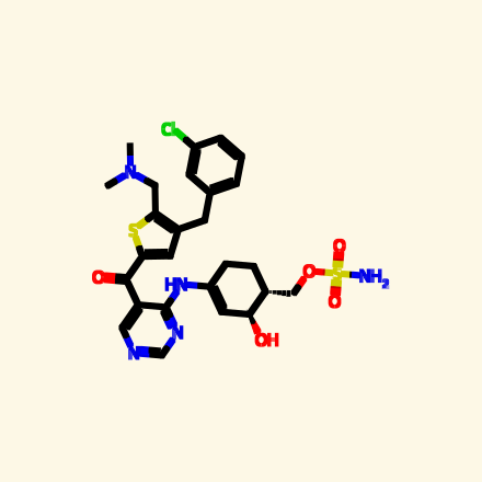 CN(C)Cc1sc(C(=O)c2cncnc2NC2=C[C@H](O)[C@@H](COS(N)(=O)=O)CC2)cc1Cc1cccc(Cl)c1